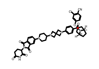 N#Cc1ccc(O[C@H]2C[C@H]3CC[C@@H](C2)N3C(=O)c2ccc(N3CC4(C3)CN(C3CCN(c5ccc6c(c5)C(=O)N(C5CCC(=O)NC5=O)C6=O)CC3)C4)cc2)cc1Cl